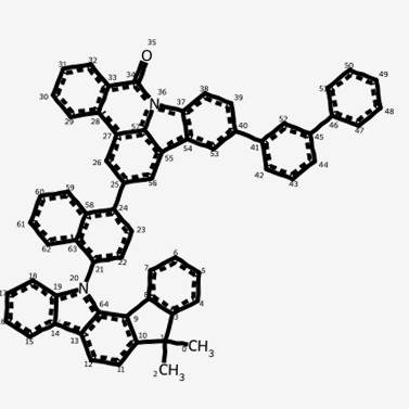 CC1(C)c2ccccc2-c2c1ccc1c3ccccc3n(-c3ccc(-c4cc5c6ccccc6c(=O)n6c7ccc(-c8cccc(-c9ccccc9)c8)cc7c(c4)c56)c4ccccc34)c21